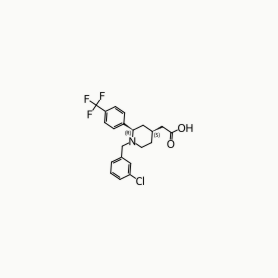 O=C(O)C[C@H]1CCN(Cc2cccc(Cl)c2)[C@@H](c2ccc(C(F)(F)F)cc2)C1